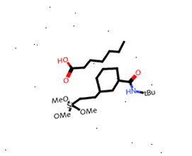 CCCCCCC(=O)O.CO[Si](CCC1CCCC(C(=O)NC(C)(C)C)C1)(OC)OC